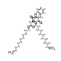 CCCCCCCCCCCCOC(=O)CO[PH](=O)N[C@@H](Cc1ccccc1)C(=O)OCCCCCCCCCCCC